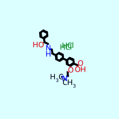 CN(C)CCOc1cc(-c2ccc(CCNC[C@H](O)c3ccccc3)cc2)ccc1C(=O)O.Cl.Cl